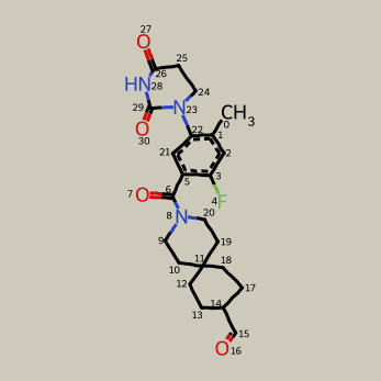 Cc1cc(F)c(C(=O)N2CCC3(CCC(C=O)CC3)CC2)cc1N1CCC(=O)NC1=O